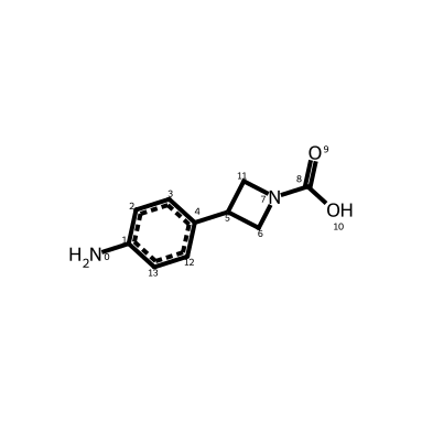 Nc1ccc(C2CN(C(=O)O)C2)cc1